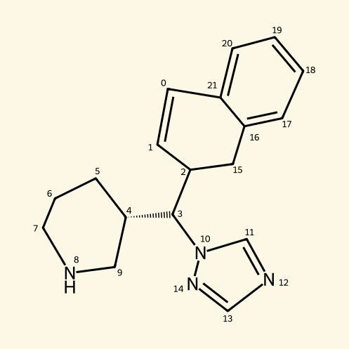 C1=CC(C([C@H]2CCCNC2)n2cncn2)Cc2ccccc21